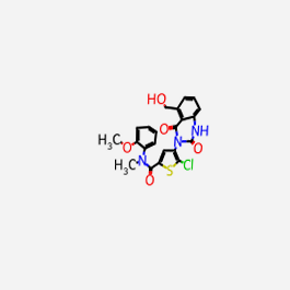 COc1ccccc1N(C)C(=O)c1cc(-n2c(=O)[nH]c3cccc(CO)c3c2=O)c(Cl)s1